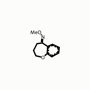 CON=C1CCCOc2ccccc21